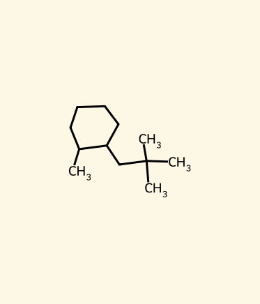 CC1CCCCC1CC(C)(C)C